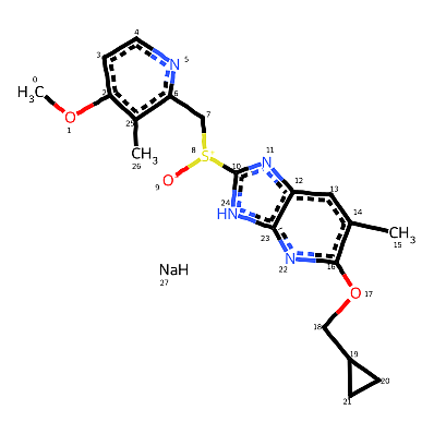 COc1ccnc(C[S+]([O-])c2nc3cc(C)c(OCC4CC4)nc3[nH]2)c1C.[NaH]